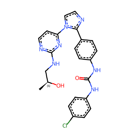 C[C@H](O)CNc1nccc(-n2ccnc2-c2ccc(NC(=O)Nc3ccc(Cl)cc3)cc2)n1